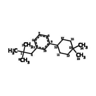 CC(C)(C)Cc1cccc(C2CCC(C)(C)CC2)c1